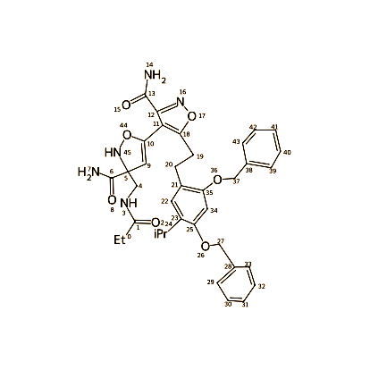 CCC(=O)NCC1(C(N)=O)C=C(c2c(C(N)=O)noc2CCc2cc(C(C)C)c(OCc3ccccc3)cc2OCc2ccccc2)ON1